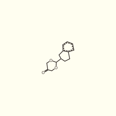 O=C1COC(C2CCc3ccccc3C2)OC1